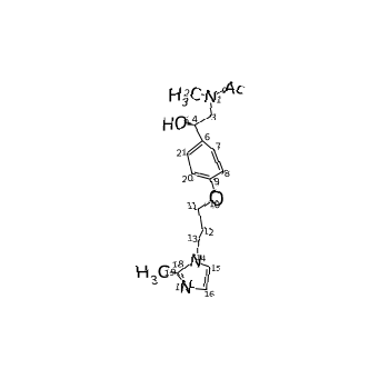 CC(=O)N(C)C[C@H](O)c1ccc(OCCCn2ccnc2C)cc1